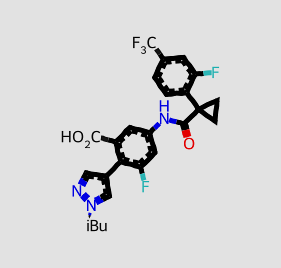 CC[C@@H](C)n1cc(-c2c(F)cc(NC(=O)C3(c4ccc(C(F)(F)F)cc4F)CC3)cc2C(=O)O)cn1